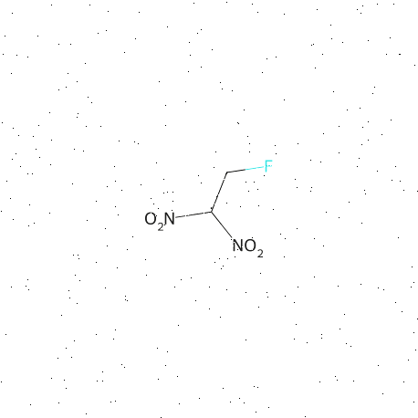 O=[N+]([O-])[C](CF)[N+](=O)[O-]